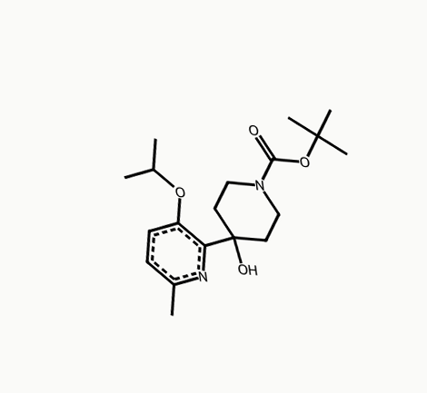 Cc1ccc(OC(C)C)c(C2(O)CCN(C(=O)OC(C)(C)C)CC2)n1